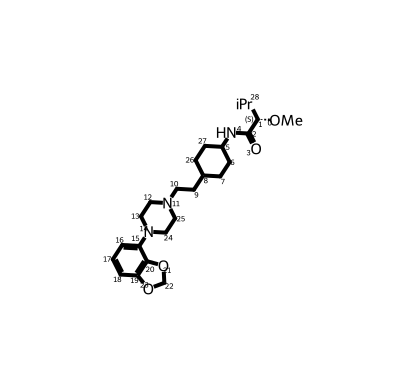 CO[C@H](C(=O)NC1CCC(CCN2CCN(c3cccc4c3OCO4)CC2)CC1)C(C)C